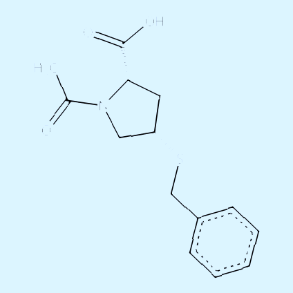 CC(=O)N1C[C@@H](SCc2ccccc2)C[C@H]1C(=O)O